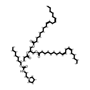 CCCCC/C=C\C/C=C\CCCCCCCC(=O)OCC(COC(=O)CCCCCCC/C=C\C/C=C\CCCCC)OC(=O)CC[C@@H](CCCCCC)OC(=O)NCCN1CCCC1